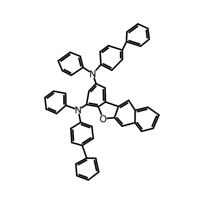 c1ccc(-c2ccc(N(c3ccccc3)c3cc(N(c4ccccc4)c4ccc(-c5ccccc5)cc4)c4oc5cc6ccccc6cc5c4c3)cc2)cc1